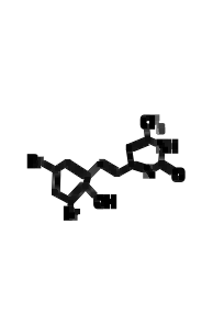 O=c1nc(C=Cc2cc(Br)cc(Br)c2O)cc(C(F)(F)F)[nH]1